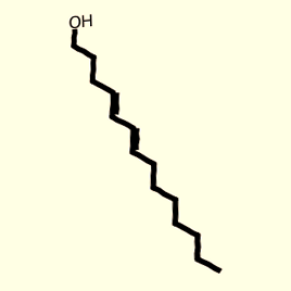 CCCCCCCC=CC=CCCCO